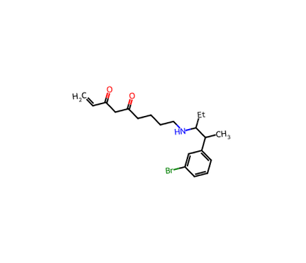 C=CC(=O)CC(=O)CCCCNC(CC)C(C)c1cccc(Br)c1